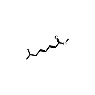 COC(=O)/C=C/C=C/CC(C)C